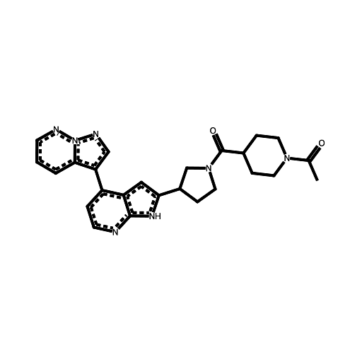 CC(=O)N1CCC(C(=O)N2CCC(c3cc4c(-c5cnn6ncccc56)ccnc4[nH]3)C2)CC1